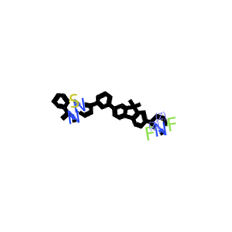 C=N/C(F)=C(\C=C/CF)c1ccc2c(c1)C(C)(C)c1cc(-c3cccc(C4=CN5Sc6ccccc6C(=C)N(C)C5C=C4)c3)ccc1-2